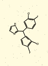 Fc1ccc(C(c2ccc(F)c(Cl)c2)c2ncc[nH]2)cc1Cl